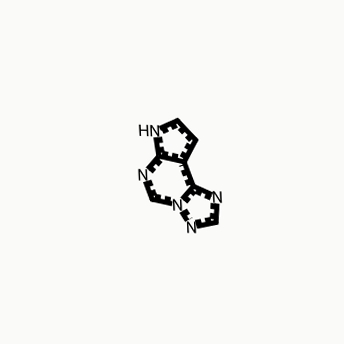 c1nc2c3cc[nH]c3ncn2n1